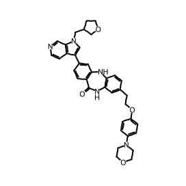 O=C1Nc2cc(CCOc3ccc(N4CCOCC4)cc3)ccc2Nc2cc(-c3cn(CC4CCOC4)c4cnccc34)ccc21